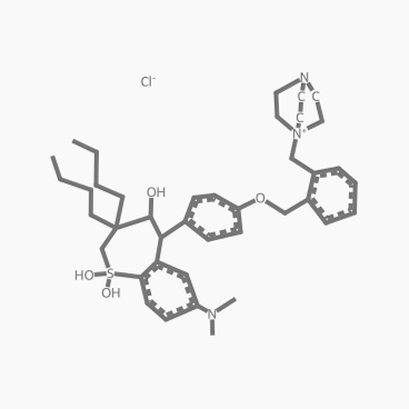 CCCCC1(CCCC)CS(O)(O)c2ccc(N(C)C)cc2C(c2ccc(OCc3ccccc3C[N+]34CCN(CC3)CC4)cc2)C1O.[Cl-]